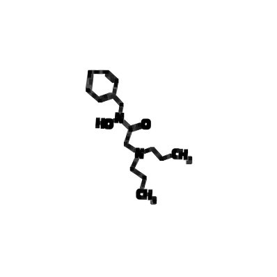 CCCN(CCC)CC(=O)N(O)Cc1ccccc1